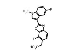 Cn1cc(-c2nc3ccc(CC(=O)O)c(F)c3o2)c2cc(F)ccc21